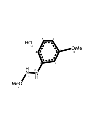 CONNc1cccc(OC)c1.Cl